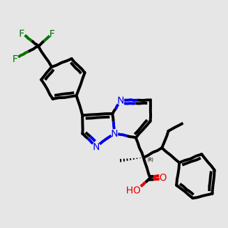 CCC(c1ccccc1)[C@@](C)(C(=O)O)c1ccnc2c(-c3ccc(C(F)(F)F)cc3)cnn12